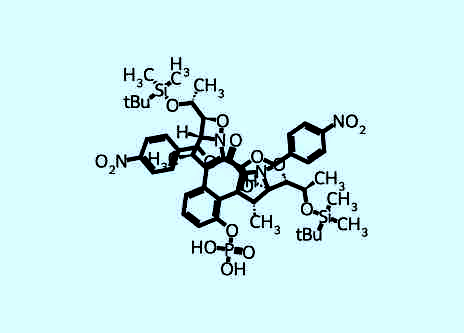 C[C@@H]1C(c2cccc(OP(=O)(O)O)c2C2=C(C(=O)OCc3ccc([N+](=O)[O-])cc3)N3O[C@H]([C@@H](C)O[Si](C)(C)C(C)(C)C)[C@H]3[C@@H]2C)=C(C(=O)OCc2ccc([N+](=O)[O-])cc2)N2O[C@H]([C@@H](C)O[Si](C)(C)C(C)(C)C)[C@@H]12